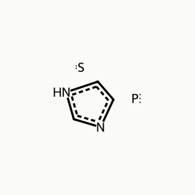 [P].[S].c1c[nH]cn1